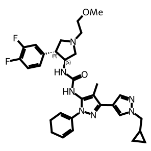 COCCN1C[C@@H](NC(=O)Nc2c(C)c(-c3cnn(CC4CC4)c3)nn2C2=CCCC=C2)[C@H](c2ccc(F)c(F)c2)C1